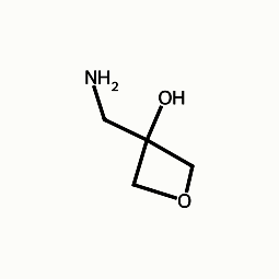 NCC1(O)COC1